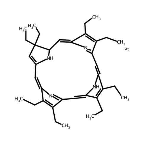 CCC1=C(CC)C2=NC1=CC1=CC(CC)(CC)C(C=C3N=C(C=c4[nH]c(c(CC)c4CC)=C2)C(CC)=C3CC)N1.[Pt]